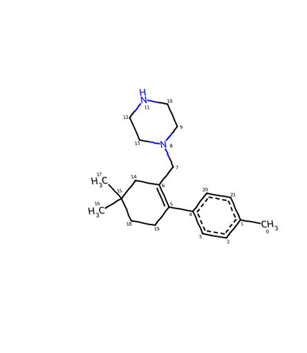 Cc1ccc(C2=C(CN3CCNCC3)CC(C)(C)CC2)cc1